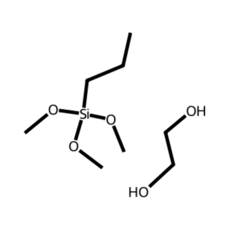 CCC[Si](OC)(OC)OC.OCCO